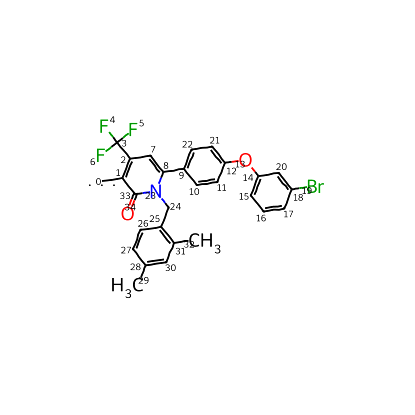 [C]c1c(C(F)(F)F)cc(-c2ccc(Oc3cccc(Br)c3)cc2)n(Cc2ccc(C)cc2C)c1=O